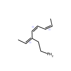 C\C=C/C=C\C(=C/C)CCP